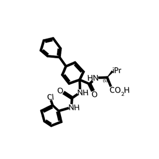 CC(C)[C@H](NC(=O)C1(NC(=O)Nc2ccccc2Cl)C=CC(c2ccccc2)C=C1)C(=O)O